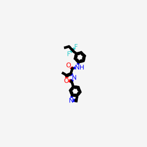 CCC(F)(F)c1cccc(NC(=O)c2nc(-c3ccc4c(c3)N=C4)oc2C)c1